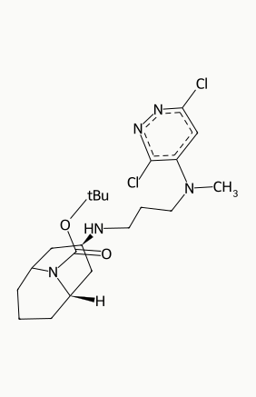 CN(CCCN[C@@H]1CC2CCC[C@@H](C1)N2C(=O)OC(C)(C)C)c1cc(Cl)nnc1Cl